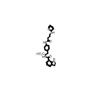 O=C(CCCNc1ccccn1)Nc1ccc(C[C@H](NC(=O)c2cccc3c2NCC3)C(=O)O)cc1